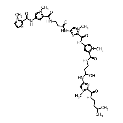 CC(C)CCNC(=O)c1nc(NC(O)CCNC(=O)c2cc(NC(=O)c3nc(NC(=O)CCNC(=O)c4cc(NC(=O)c5nccn5C)cn4C)cn3C)cn2C)cn1C